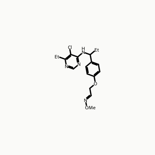 CCc1ncnc(NC(CC)c2ccc(OC/C=N/OC)cc2)c1Cl